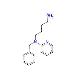 NCCCCN(Cc1ccccc1)c1ccccn1